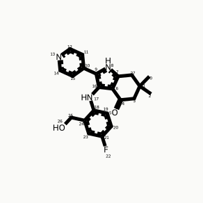 CC1(C)CC(=O)c2c([nH]c(-c3ccncc3)c2Nc2ccc(F)cc2CO)C1